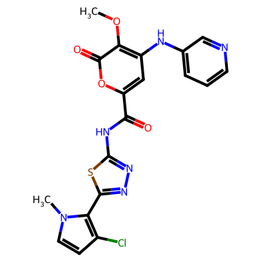 COc1c(Nc2cccnc2)cc(C(=O)Nc2nnc(-c3c(Cl)ccn3C)s2)oc1=O